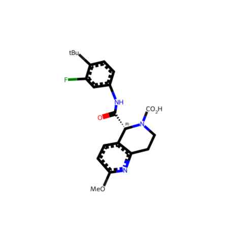 COc1ccc2c(n1)CCN(C(=O)O)[C@H]2C(=O)Nc1ccc(C(C)(C)C)c(F)c1